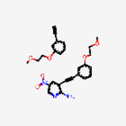 C#Cc1cccc(OCCOC)c1.COCCOc1cccc(C#Cc2cc([N+](=O)[O-])cnc2N)c1